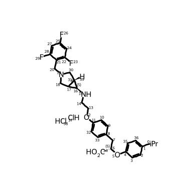 CC(C)c1ccc(O[C@@H](Cc2ccc(OCCN[C@H]3C4CN(Cc5c(F)cc(F)cc5F)C[C@@H]43)cc2)C(=O)O)cc1.Cl.Cl